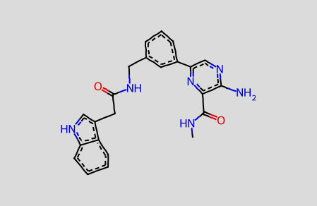 CNC(=O)c1nc(-c2cccc(CNC(=O)Cc3c[nH]c4ccccc34)c2)cnc1N